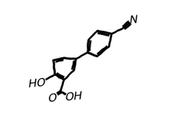 N#Cc1ccc(-c2ccc(O)c(C(=O)O)c2)cc1